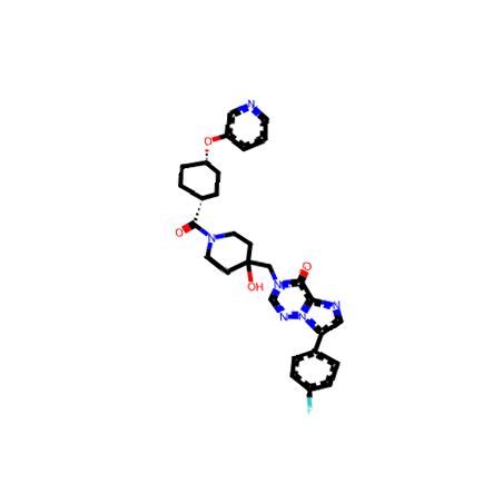 O=c1c2ncc(-c3ccc(F)cc3)n2ncn1CC1(O)CCN(C(=O)[C@H]2CC[C@@H](Oc3cccnc3)CC2)CC1